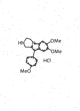 COc1ccc(-c2c3n(c4cc(OC)c(OC)cc24)CCNC3)cc1.Cl